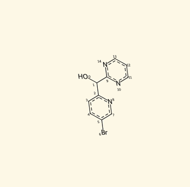 OC(c1ccc(Br)cn1)c1ncccn1